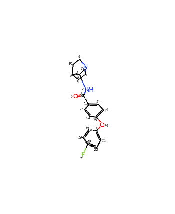 O=C(NC1CC2CCN(CC2)C1)c1ccc(Oc2ccc(F)cc2)cc1